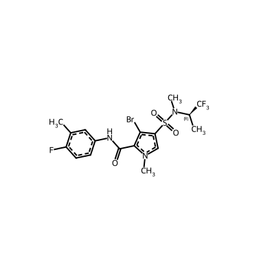 Cc1cc(NC(=O)c2c(Br)c(S(=O)(=O)N(C)[C@H](C)C(F)(F)F)cn2C)ccc1F